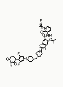 CC(C)Oc1cc2nc(N3CCN(CC4CCN(c5cc(F)c(C6CCC(=O)NC6=O)c(F)c5)CC4)CC3)sc2cc1C(=O)Nc1cccn([C@H]2C[C@H]2F)c1=O